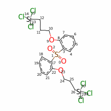 O=S(=O)(c1ccccc1OCCC[Si](Cl)(Cl)Cl)c1ccccc1OCCC[Si](Cl)(Cl)Cl